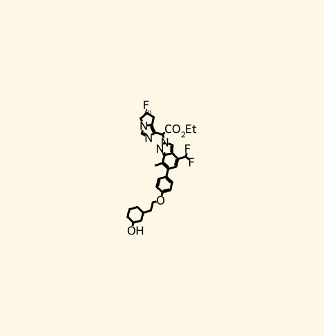 CCOC(=O)C(c1ncn2c1C[C@@H](F)C2)n1cc2c(C(F)F)cc(-c3ccc(OCCC4CCCC(O)C4)cc3)c(C)c2n1